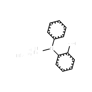 Br.Br.Br.CN(c1ccccc1)c1ccccc1O